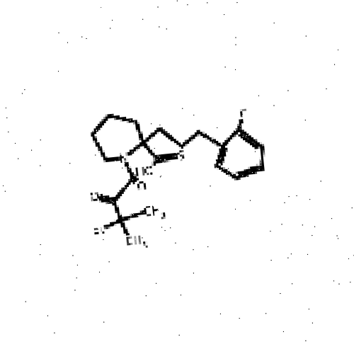 CCC(C)(C)C(=O)C(=O)N1CCCCC1(CCCc1ccccc1Cl)C(O)=S